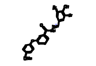 COc1ccc(Oc2cccc(C(=O)N/N=C/c3cc(Br)c(O)c(Br)c3)c2)cc1